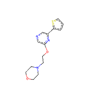 c1csc(-c2cncc(OCCN3CCOCC3)n2)c1